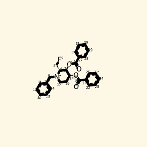 O=C(O[C@@H]1[C@@H](CF)N(Cc2ccccc2)CC[C@H]1OC(=O)c1ccccc1)c1ccccc1